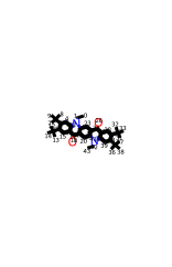 CCn1c2cc(C(C)(C)C)c(C(C)(C)C)cc2c(=O)c2cc3c(cc21)c(=O)c1cc(C(C)(C)C)c(C(C)(C)C)cc1n3CC